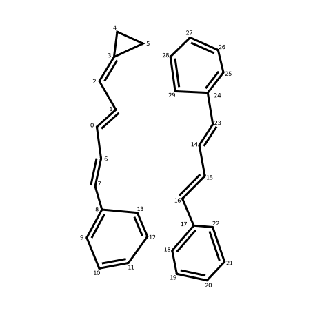 C(=CC=C1CC1)C=Cc1ccccc1.C(C=Cc1ccccc1)=Cc1ccccc1